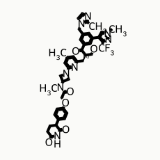 Cc1cc(C[C@@H]2COc3c(cc(Cn4ccnc4C)cc3-c3cn(C)nc3C(F)(F)F)C2=O)nc(N2CC(N(C)C(=O)COc3ccc(C4CCC(=O)NC4=O)cc3)C2)c1